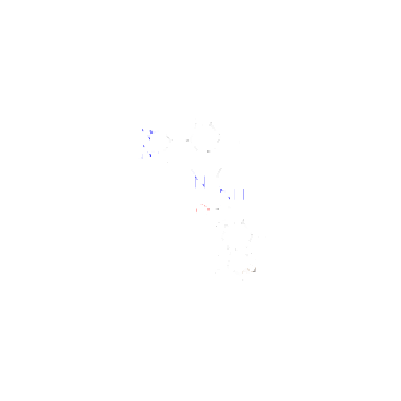 C=N/C(=C\c1cc(-c2cnn(C)c2)ccc1C)NC(=O)c1ccc2sccc2c1